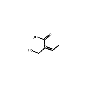 CC=C(CO)C(=O)O